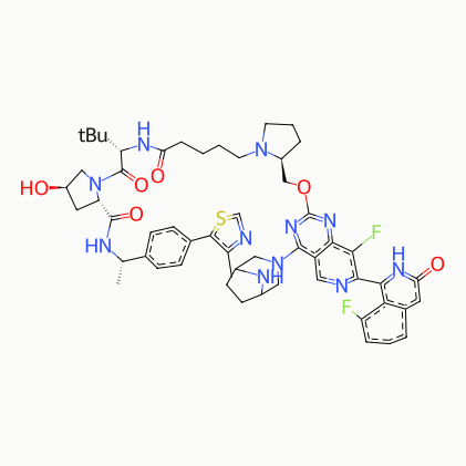 Cc1ncsc1-c1ccc([C@H](C)NC(=O)[C@@H]2C[C@@H](O)CN2C(=O)[C@@H](NC(=O)CCCCN2CCC[C@H]2COc2nc(N3CC4CCC(C3)N4)c3cnc(-c4[nH]c(=O)cc5cccc(F)c45)c(F)c3n2)C(C)(C)C)cc1